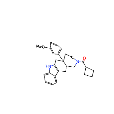 COc1cccc(C23CCN(C(=O)C4CCC4)CC2Cc2c([nH]c4ccccc24)C3)c1